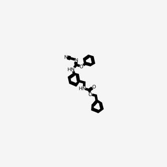 N#C/N=C(\Nc1cccc(CNC(=O)OCc2ccccc2)c1)Oc1ccccc1